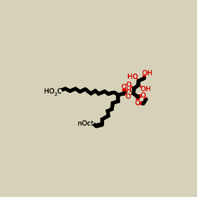 CCCCCCCC/C=C\CCCCCCC(CCCCCCCCCCCC(=O)O)C(=O)O[C@@H](C1OCCO1)[C@@H](O)[C@H](O)[C@H](O)CO